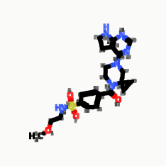 COCCNS(=O)(=O)c1ccc(C(=O)N2CCN(c3ncnc4c3CCN4)CC23CC3)cc1